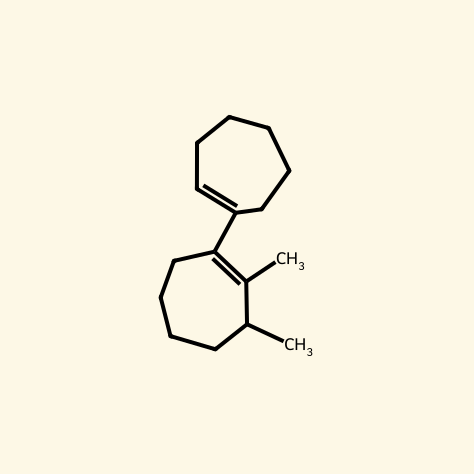 CC1=C(C2=CCCCCC2)CCCCC1C